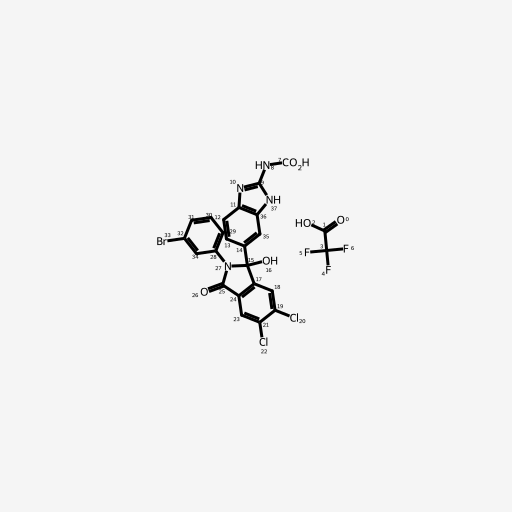 O=C(O)C(F)(F)F.O=C(O)Nc1nc2ccc(C3(O)c4cc(Cl)c(Cl)cc4C(=O)N3c3cccc(Br)c3)cc2[nH]1